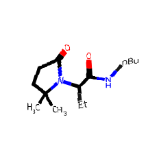 CCCCNC(=O)C(CC)N1C(=O)CCC1(C)C